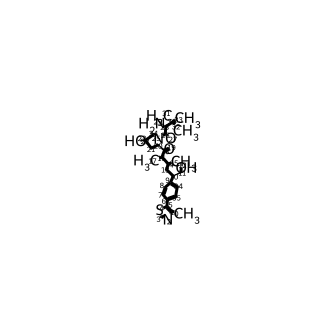 Cc1ncsc1-c1ccc([C@H](CO)CC(C)C(C)C(=O)[C@H]2C[C@@H](O)CN2C(=O)[C@@H](N)C(C)(C)C)cc1